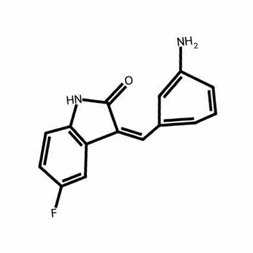 Nc1cccc(C=C2C(=O)Nc3ccc(F)cc32)c1